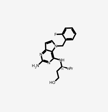 CCC[C@@H](CCO)Nc1nc(N)nc2ccn(Cc3ccccc3F)c12